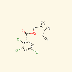 CCC(C)C(C)COC(=O)c1[c]c(Cl)cc(Cl)c1Cl